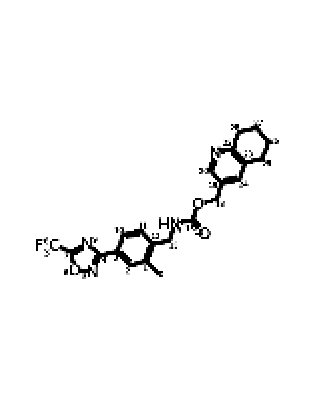 Cc1cc(-c2noc(C(F)(F)F)n2)ccc1CNC(=O)OCc1cnc2c(c1)CCCC2